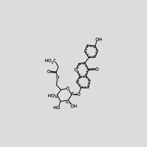 O=C(O)CC(=O)OCC1O[C@@H](Oc2ccc3c(=O)c(-c4ccc(O)cc4)coc3c2)[C@@H](O)C(O)[C@@H]1O